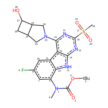 CN(C(=O)OC(C)(C)C)c1cc(F)cc2c1[nH]c1nc(S(C)(=O)=O)nc(N3CC4CC(O)C4C3)c12